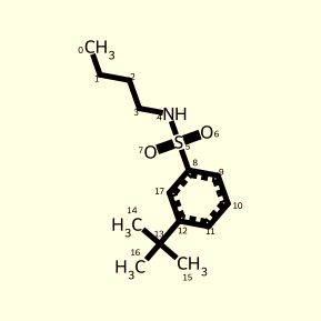 CCCCNS(=O)(=O)c1cccc(C(C)(C)C)c1